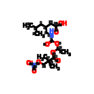 CC(C)C[C@H](CNC(=O)OC(C)OC(=O)C(C)(C)CO[N+](=O)[O-])CC(=O)O